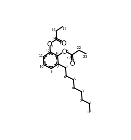 CCCCCCCCc1cccc(OC(=O)CC)c1OC(=O)CC